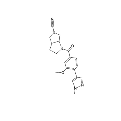 COc1cc(C(=O)N2CCC3CN(C#N)CC32)ccc1-c1cnn(C)c1